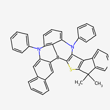 CC1(C)c2ccccc2-c2c1sc1c2N(c2ccccc2)c2cccc3c2B1c1cc2ccccc2cc1N3c1ccccc1